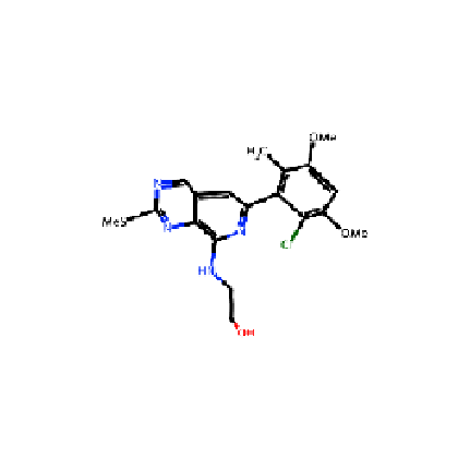 COc1cc(OC)c(Cl)c(-c2cc3cnc(SC)nc3c(NCCO)n2)c1C